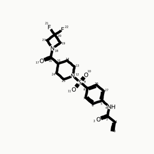 C=CC(=O)Nc1ccc(S(=O)(=O)N2CCC(C(=O)N3CC(F)(F)C3)CC2)cc1